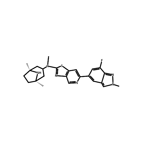 CN(c1nc2cnc(-c3cc(F)c4nn(C)cc4c3)cc2s1)C1C[C@]2(C)CC[C@](C)(C1)N2